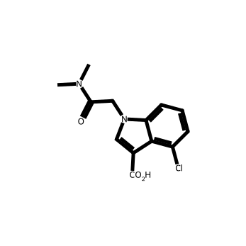 CN(C)C(=O)Cn1cc(C(=O)O)c2c(Cl)cccc21